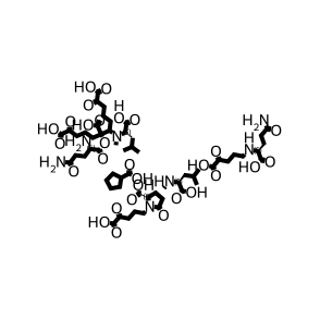 CC(C)C[C@@H](C(=O)O)N(C)C(CCCC(=O)C(=O)O)C(CCCC(=O)C(=O)O)(OC(=O)[C@@H](N)CCC(N)=O)C(=O)O.CN[C@@H](CC(C)C)C(=O)O.NC(=O)CC[C@H](NCCCC(=O)C(=O)O)C(=O)O.O=C(O)C(=O)CCCN1C(=O)CC[C@H]1C(=O)O.O=C(O)C1CCCC1